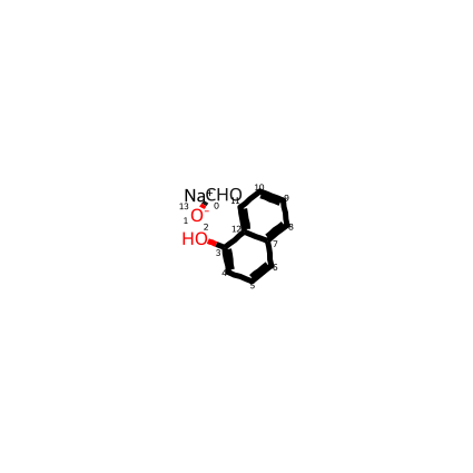 O=C[O-].Oc1cccc2ccccc12.[Na+]